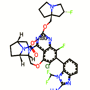 CC(C)(C)OC(=O)N1[C@@H]2CC[C@H]1[C@H]1COc3c(Cl)c(-c4cccc5nc(N)n(C(F)F)c45)c(F)c4nc(OC[C@@]56CCCN5C[C@H](F)C6)nc(c34)N1C2